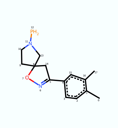 Cc1ccc(C2=NOC3(CCN(P)C3)C2)cc1C